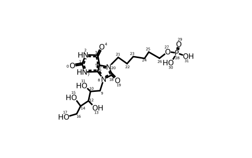 O=c1[nH]c(=O)c2c([nH]1)n(CC(O)C(O)C(O)CO)c(=O)n2CCCCCCOP(=O)(O)O